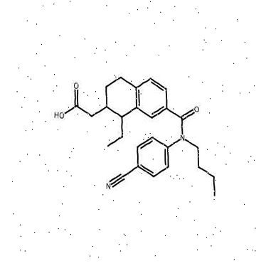 CCCCN(C(=O)c1ccc2c(c1)C(CC)C(CC(=O)O)CC2)c1ccc(C#N)cc1